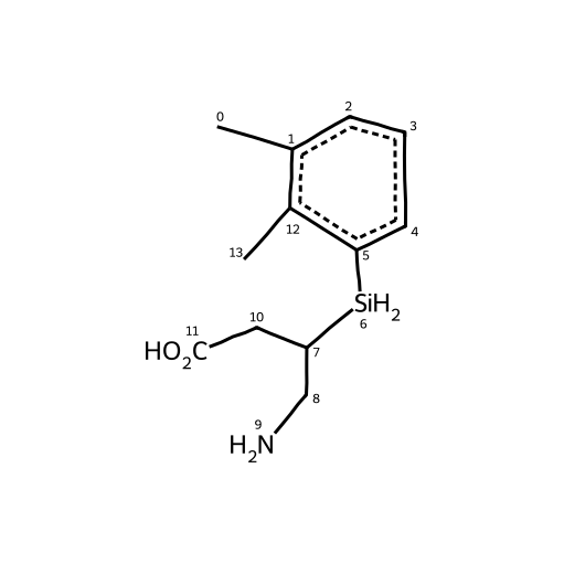 Cc1cccc([SiH2]C(CN)CC(=O)O)c1C